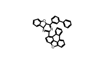 c1ccc(-c2cccc(C3=NC(c4ccc5oc6cccc7c8ccccc8c4c5c67)=NC4c5ccccc5OC34)c2)cc1